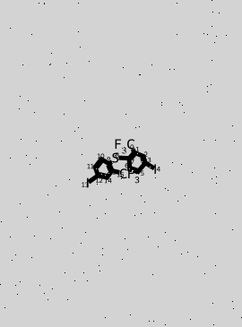 FC(F)(F)c1cc(I)ccc1Sc1ccc(I)cc1C(F)(F)F